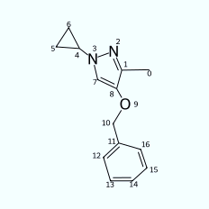 Cc1nn(C2CC2)cc1OCc1ccccc1